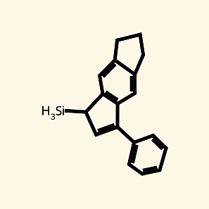 [SiH3]C1C=C(c2ccccc2)c2cc3c(cc21)CCC3